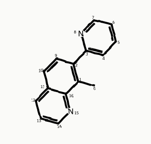 Cc1c(-c2ccccn2)ccc2cccnc12